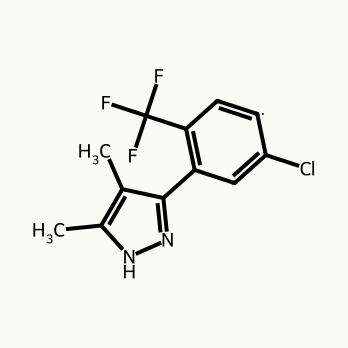 Cc1[nH]nc(-c2cc(Cl)[c]cc2C(F)(F)F)c1C